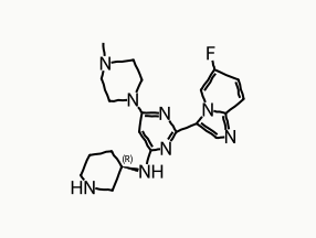 CN1CCN(c2cc(N[C@@H]3CCCNC3)nc(-c3cnc4ccc(F)cn34)n2)CC1